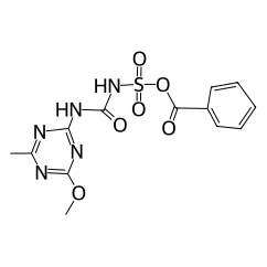 COc1nc(C)nc(NC(=O)NS(=O)(=O)OC(=O)c2ccccc2)n1